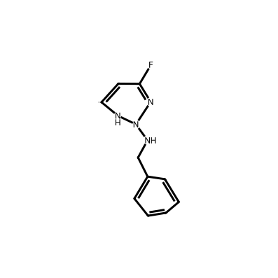 FC1=NN(NCc2ccccc2)N[C]=C1